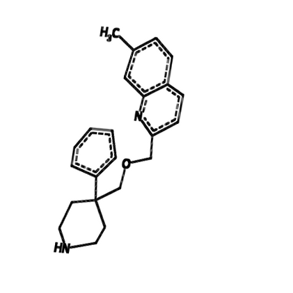 Cc1ccc2ccc(COCC3(c4ccccc4)CCNCC3)nc2c1